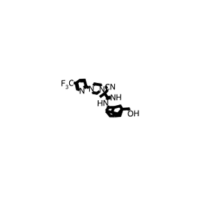 CC(C)(C(=N)NC1C2CC3CC1CC(CO)(C3)C2)[N+]1(C#N)CCN(c2ccc(C(F)(F)F)cn2)CC1